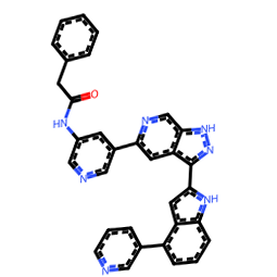 O=C(Cc1ccccc1)Nc1cncc(-c2cc3c(-c4cc5c(-c6cccnc6)cccc5[nH]4)n[nH]c3cn2)c1